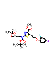 COC(=O)c1nc(N(CCC2COC(C)(C)O2)C(=O)OC(C)(C)C)sc1CCCOc1ccc(I)cc1F